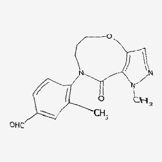 Cc1cc(C=O)ccc1N1CCOc2cnn(C)c2C1=O